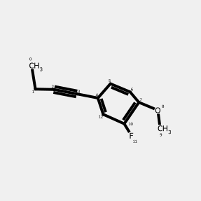 CCC#Cc1ccc(OC)c(F)c1